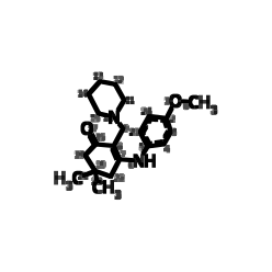 COc1ccc(NC2=C(CN3CCCCC3)C(=O)CC(C)(C)C2)cc1